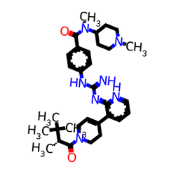 C[C@@H](C(=O)N1CC=C(c2ccc[nH]/c2=N\C(=N)Nc2ccc(C(=O)N(C)C3CCN(C)CC3)cc2)CC1)C(C)(C)C